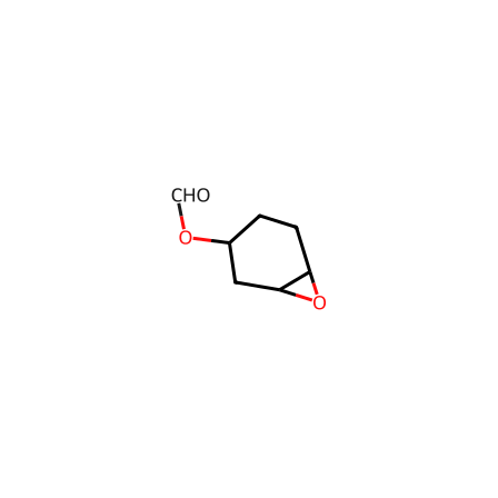 O=COC1CCC2OC2C1